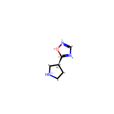 c1noc([C@H]2CCNC2)n1